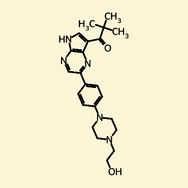 CC(C)(C)C(=O)c1c[nH]c2ncc(-c3ccc(N4CCN(CCO)CC4)cc3)nc12